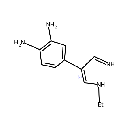 CCN/C=C(\C=N)c1ccc(N)c(N)c1